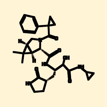 CC1(C)[C@@H]2[C@@H](C(=O)N[C@@H](C[C@@H]3CCNC3=O)C(O)C(=O)NC3CC3)N(C(=O)C3(c4ccccc4)CC3)C[C@@H]21